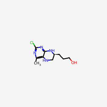 Cc1nc(Cl)nc2c1NC[C@H](CCCO)N2